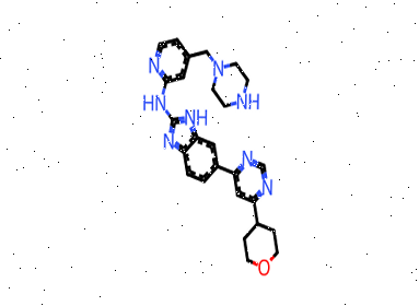 c1cc(CN2CCNCC2)cc(Nc2nc3ccc(-c4cc(C5CCOCC5)ncn4)cc3[nH]2)n1